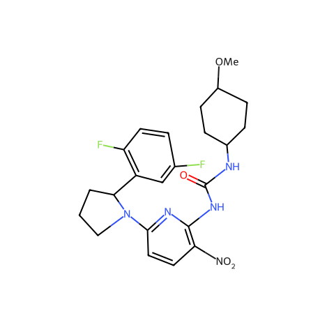 COC1CCC(NC(=O)Nc2nc(N3CCCC3c3cc(F)ccc3F)ccc2[N+](=O)[O-])CC1